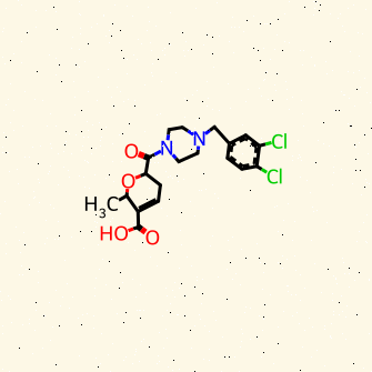 CC1OC(C(=O)N2CCN(Cc3ccc(Cl)c(Cl)c3)CC2)CC=C1C(=O)O